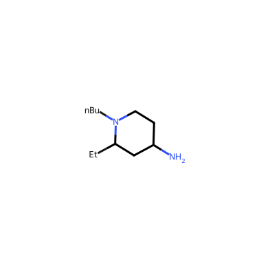 CCCCN1CCC(N)CC1CC